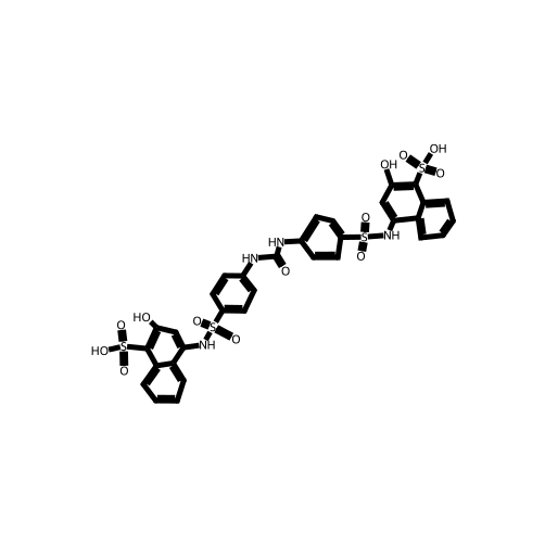 O=C(Nc1ccc(S(=O)(=O)Nc2cc(O)c(S(=O)(=O)O)c3ccccc23)cc1)Nc1ccc(S(=O)(=O)Nc2cc(O)c(S(=O)(=O)O)c3ccccc23)cc1